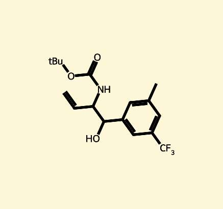 C=CC(NC(=O)OC(C)(C)C)C(O)c1cc(C)cc(C(F)(F)F)c1